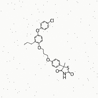 CCCc1cc(Oc2ccc(Cl)cc2)ccc1OCCCOc1ccc(C2(C)SC(=O)NC2=O)cc1